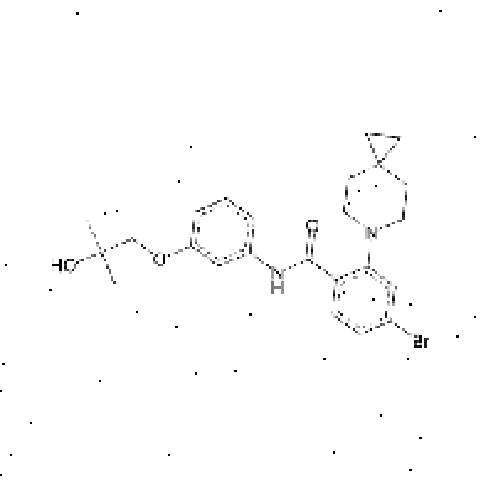 CC(C)(O)COc1cccc(NC(=O)c2ccc(Br)cc2N2CCC3(CC2)CC3)c1